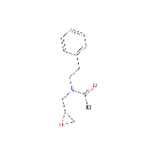 CCC(=O)N(CCc1ccccc1)CC1CO1